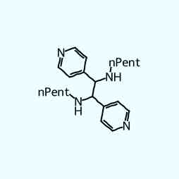 CCCCCNC(c1ccncc1)C(NCCCCC)c1ccncc1